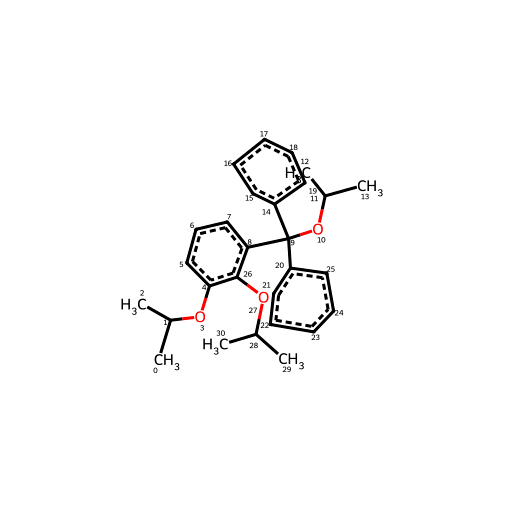 CC(C)Oc1cccc(C(OC(C)C)(c2ccccc2)c2ccccc2)c1OC(C)C